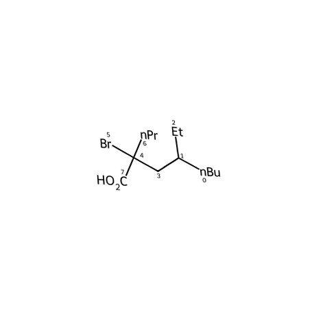 CCCCC(CC)CC(Br)(CCC)C(=O)O